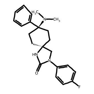 CN(C)[C@]1(c2ccccc2)CC[C@]2(CC1)CN(c1ccc(F)cc1)C(=O)N2